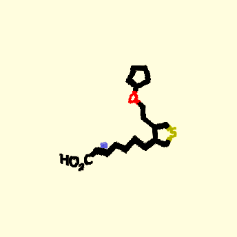 O=C(O)/C=C/CCCCC1CSCC1CCOC1CCCC1